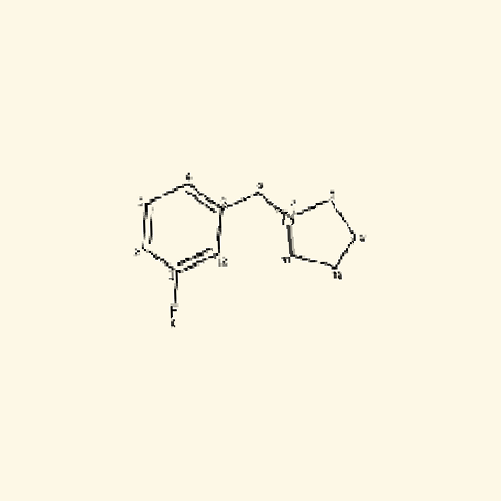 Fc1cccc(CN2CCCC2)c1